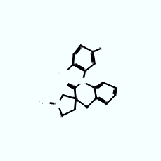 COc1ccc(C(C)C)cc1N1C(=O)C2(CCN(C#N)C2)Cc2ccccc21